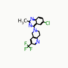 Cc1nc(N2CCc3ncc(C(F)(F)F)cc3C2)c2cc(Cl)ccc2n1